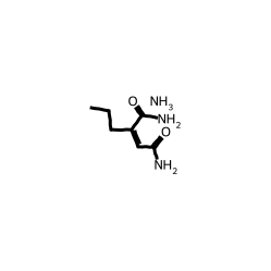 CCCC(=CC(N)=O)C(N)=O.N